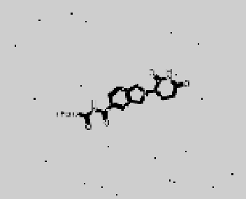 CCCCCC(=O)NC(=O)c1ccc2c(c1)CN(C1CCC(=O)NC1=O)C2